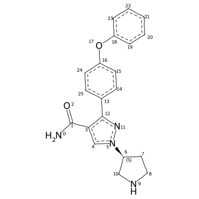 NC(=O)c1cn([C@H]2CCNC2)nc1-c1ccc(Oc2ccccc2)cc1